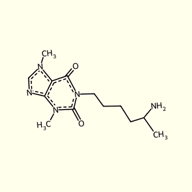 CC(N)CCCCn1c(=O)c2c(ncn2C)n(C)c1=O